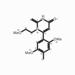 C=C1NC(=O)C=C(c2cc(OC)c(C)cc2OC)N1CCOC